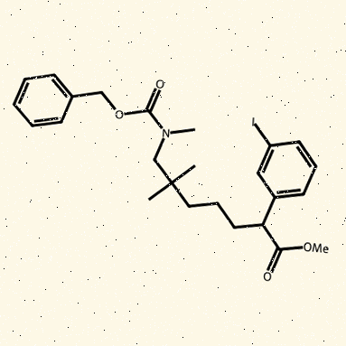 COC(=O)C(CCCC(C)(C)CN(C)C(=O)OCc1ccccc1)c1cccc(I)c1